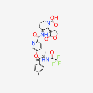 Cc1ccc([C@@H](Oc2ccc(C(=O)N[C@H]3CCCN(C(=O)O)C3[C@H]3CCOC3=O)nc2)[C@H](C)NC(=O)C(F)(F)F)cc1